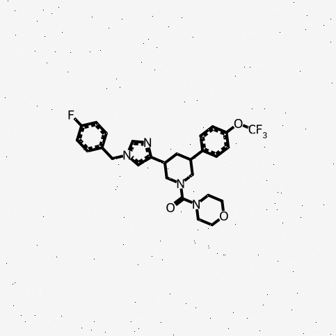 O=C(N1CCOCC1)N1CC(c2ccc(OC(F)(F)F)cc2)CC(c2cn(Cc3ccc(F)cc3)cn2)C1